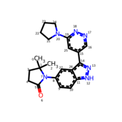 CC1(C)CCC(=O)N1c1ccc2[nH]nc(-c3cnnc(N4CCCC4)c3)c2c1